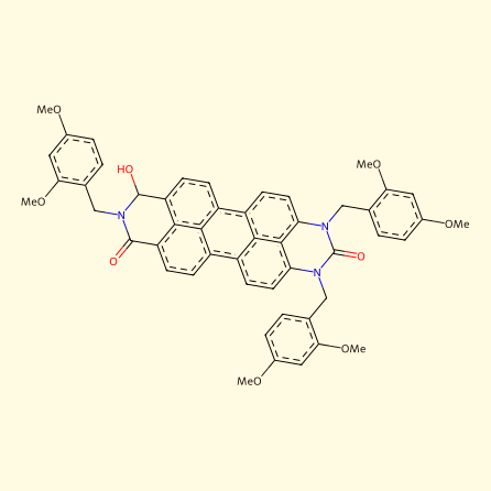 COc1ccc(CN2C(=O)N(Cc3ccc(OC)cc3OC)c3ccc4c5ccc6c7c(ccc(c8ccc2c3c84)c75)C(=O)N(Cc2ccc(OC)cc2OC)C6O)c(OC)c1